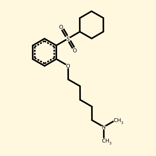 CN(C)CCCCCOc1ccccc1S(=O)(=O)C1CCCCC1